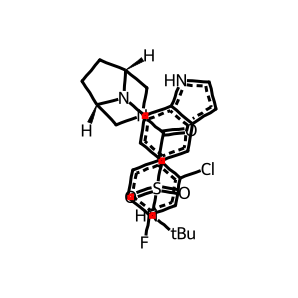 CC(C)(C)NS(=O)(=O)c1cc(N2[C@@H]3CC[C@H]2CN(C(=O)c2ccc(F)cc2Cl)C3)c2[nH]ccc2c1